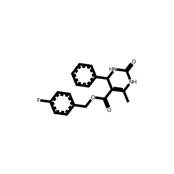 CC1=C(C(=O)OCc2ccc(F)cc2)C(c2ccccc2)NC(=O)N1